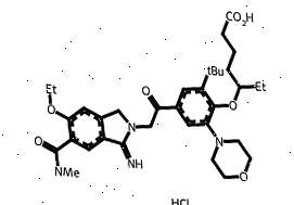 CCOc1cc2c(cc1C(=O)NC)C(=N)N(CC(=O)c1cc(N3CCOCC3)c(OC(CC)CCCC(=O)O)c(C(C)(C)C)c1)C2.Cl